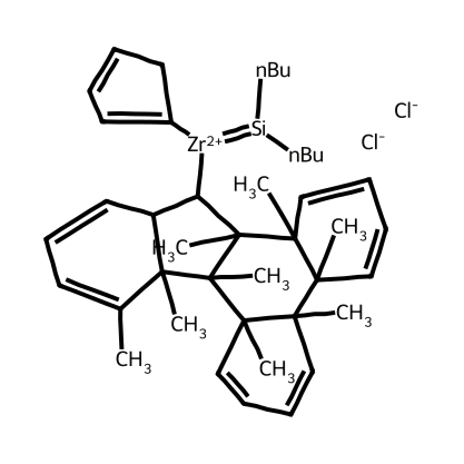 CCCC[Si](CCCC)=[Zr+2]([C]1=CC=CC1)[CH]1C2C=CC=C(C)C2(C)C2(C)C3(C)C=CC=CC3(C)C3(C)C=CC=CC3(C)C12C.[Cl-].[Cl-]